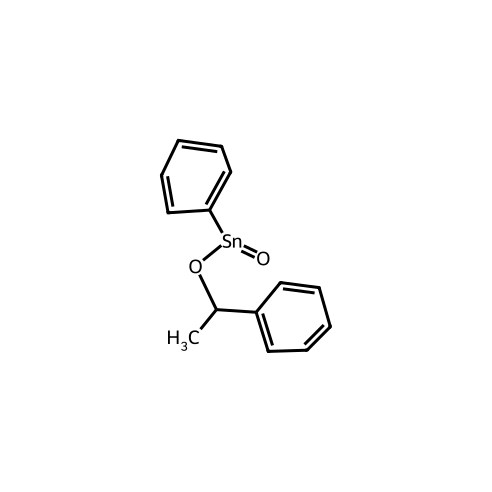 CC([O][Sn](=[O])[c]1ccccc1)c1ccccc1